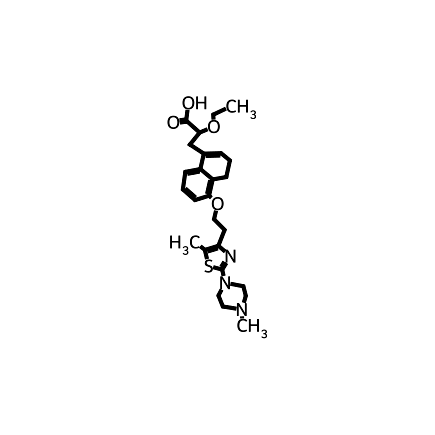 CCOC(CC1=CCCc2c(OCCc3nc(N4CCN(C)CC4)sc3C)cccc21)C(=O)O